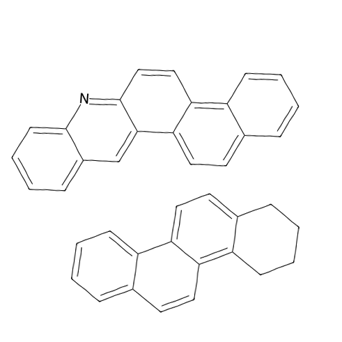 c1ccc2c(c1)ccc1c3c(ccc12)CCCC3.c1ccc2nc3ccc4c5ccccc5ccc4c3cc2c1